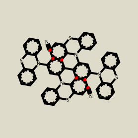 N#Cc1cc(-c2cc(C#N)c(N3c4ccccc4Sc4ccccc43)cc2N2c3ccccc3Sc3ccccc32)c(N2c3ccccc3Sc3ccccc32)cc1N1c2ccccc2Sc2ccccc21